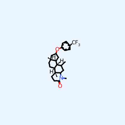 CC1CC2N(C)C(=O)CC[C@]2(C)[C@@H]2CC[C@]3(C)CC(Oc4ccc(C(F)(F)F)cc4)C[C@H]3[C@H]12